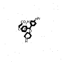 CCCc1ccc(C(OC2CCNCC2)c2ccccc2)cc1.O=C(O)/C=C/C(=O)O